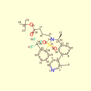 Cc1cnccc1-c1cccc([C@H](C)N(CCCC(=O)OC(C)(C)C)S(=O)(=O)c2ccccc2C(F)(F)F)c1